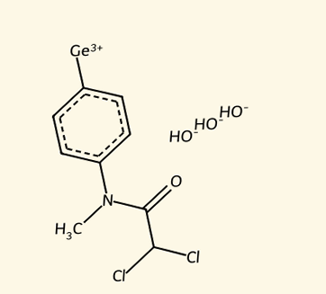 CN(C(=O)C(Cl)Cl)c1cc[c]([Ge+3])cc1.[OH-].[OH-].[OH-]